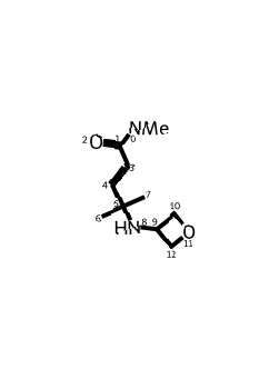 CNC(=O)C=CC(C)(C)NC1COC1